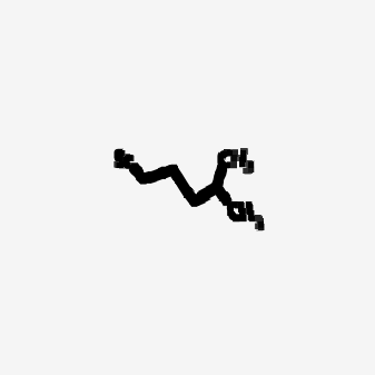 CC(C)CC[CH2][Sc]